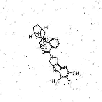 Cc1nc2c3c(nn2c(C)c1Cl)CN(C(=O)c1ccccc1O[C@H]1C[C@H]2CC[C@@H](C1)N2C(=O)OC(C)(C)C)C3